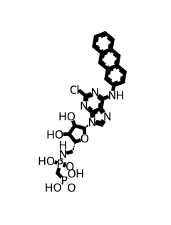 O=P(O)(O)CP(=O)(O)NC[C@H]1O[C@@H](n2cnc3c(Nc4ccc5cc6ccccc6cc5c4)nc(Cl)nc32)C(O)C1O